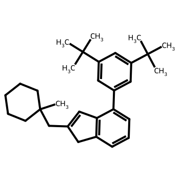 CC1(CC2=Cc3c(cccc3-c3cc(C(C)(C)C)cc(C(C)(C)C)c3)C2)CCCCC1